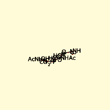 CC(=O)NC(C(=O)O)C1(O)CN(CCCCCc2ccc3c(n2)NCC(OC(=O)C(NC(C)=O)C2(O)CN(C(=O)CCCCc4ccc5c(n4)NCCC5)C2)C3)C1